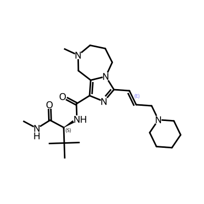 CNC(=O)[C@@H](NC(=O)c1nc(/C=C/CN2CCCCC2)n2c1CN(C)CCC2)C(C)(C)C